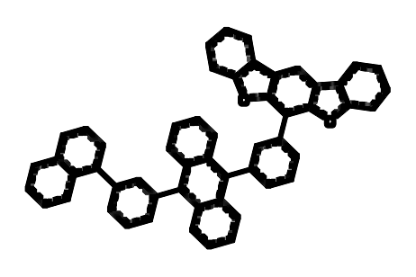 c1cc(-c2cccc3ccccc23)cc(-c2c3ccccc3c(-c3cccc(-c4c5oc6ccccc6c5cc5c4oc4ccccc45)c3)c3ccccc23)c1